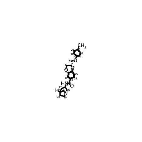 Cc1ccc(OC[C@H]2COc3cc(C(=O)N[C@@H]4C[C@H]5CCN(C5)C4)ccc3O2)cc1